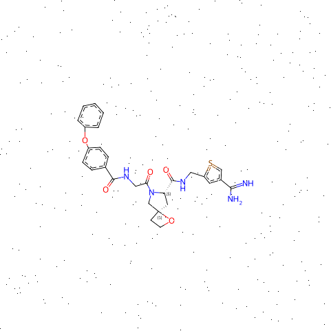 N=C(N)c1csc(CNC(=O)[C@@H]2C[C@]3(CCO3)CN2C(=O)CNC(=O)c2ccc(Oc3ccccc3)cc2)c1